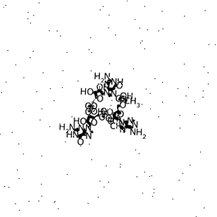 CO[C@H]1C(OP(=O)(O)OC[C@H]2O[C@@H](n3cnc4c(=O)[nH]c(N)nc43)[C@@H](O)C2OP(=O)(O)OC[C@H]2O[C@@H](n3cnc4c(=O)[nH]c(N)nc43)[C@@H](O)C2O)[C@@H](COP(C)(=O)O)O[C@H]1n1cnc2c(N)ncnc21